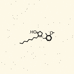 CCCCCCCC[C@@H]1[C@@H](Cc2cccc(OC)c2C)CC[C@H]1O